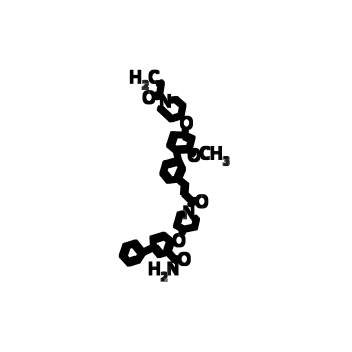 C=CC(=O)N1CCC(Oc2ccc(-c3cccc(/C=C/C(=O)N4CCC(Oc5ccc(-c6ccccc6)cc5C(N)=O)CC4)c3)c(OC)c2)CC1